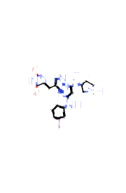 O=C1NC(=O)/C(=C/c2cnn3c(NC4CCNC4)cc(Nc4cccc(I)c4)nc23)N1